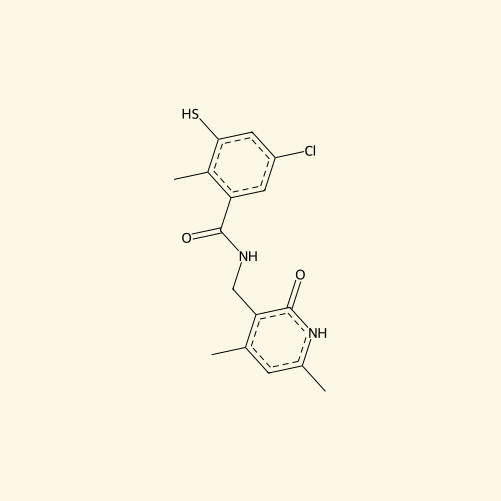 Cc1cc(C)c(CNC(=O)c2cc(Cl)cc(S)c2C)c(=O)[nH]1